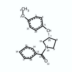 COc1ccc(O[C@@H]2CCN(C(=O)c3ccccc3)C2)cc1